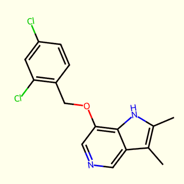 Cc1[nH]c2c(OCc3ccc(Cl)cc3Cl)cncc2c1C